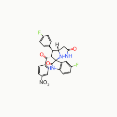 O=C1C[C@H]2[C@H](c3ccc(F)cc3)[C@@H](C(=O)c3ccc([N+](=O)[O-])cc3)[C@]3(C(=O)Nc4ccc(F)cc43)N2N1